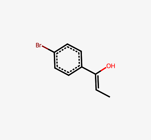 CC=C(O)c1ccc(Br)cc1